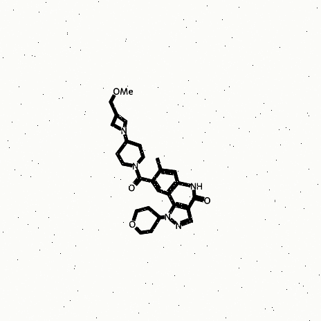 COCC1CN(C2CCN(C(=O)c3cc4c(cc3C)[nH]c(=O)c3cnn(C5CCOCC5)c34)CC2)C1